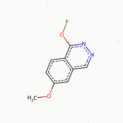 COc1ccc2c(OF)nncc2c1